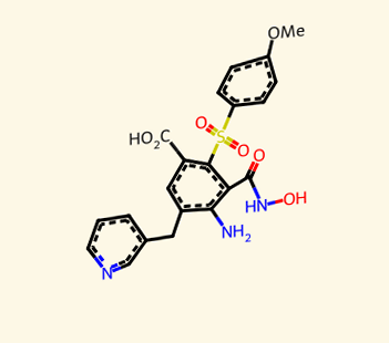 COc1ccc(S(=O)(=O)c2c(C(=O)O)cc(Cc3cccnc3)c(N)c2C(=O)NO)cc1